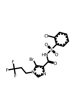 O=C(NS(=O)(=O)c1ccccc1Cl)c1ncn(CCC(F)(F)F)c1Br